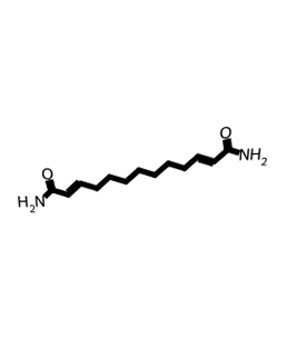 NC(=O)C=CCCCCCCCC=CC(N)=O